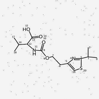 CC(C)c1nc(CCOC(=O)NC(C(=O)O)C(C)C)cs1